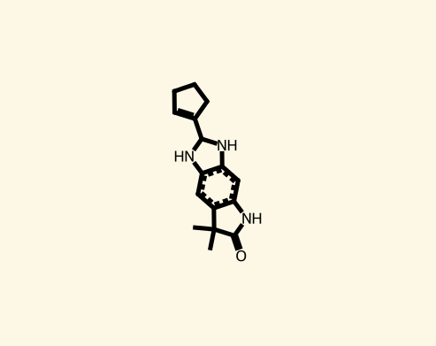 CC1(C)C(=O)Nc2cc3c(cc21)NC(C1=CCCC1)N3